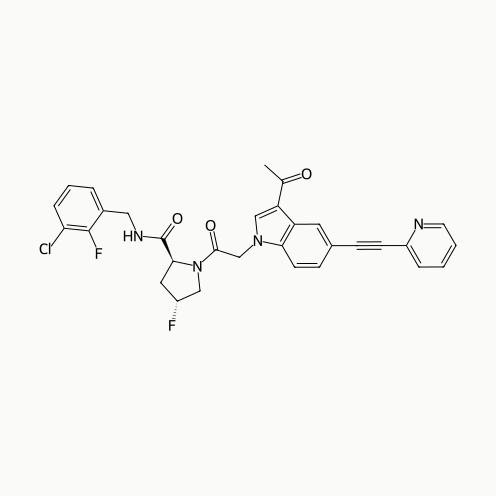 CC(=O)c1cn(CC(=O)N2C[C@H](F)C[C@H]2C(=O)NCc2cccc(Cl)c2F)c2ccc(C#Cc3ccccn3)cc12